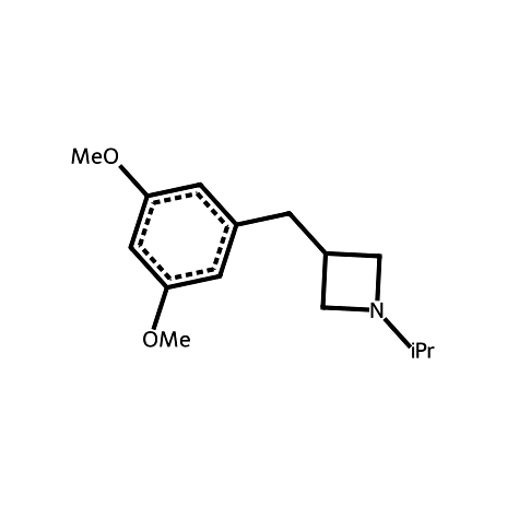 COc1cc(CC2CN(C(C)C)C2)cc(OC)c1